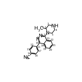 CC1CNCCN1c1nnc(-c2ccc(C#N)cc2)c2ccccc12